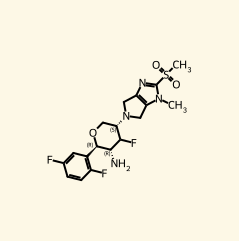 Cn1c(S(C)(=O)=O)nc2c1CN([C@H]1CO[C@H](c3cc(F)ccc3F)[C@@H](N)C1F)C2